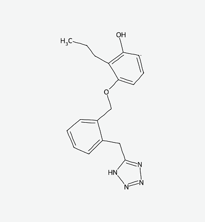 CCCc1c(O)[c]ccc1OCc1ccccc1Cc1nnn[nH]1